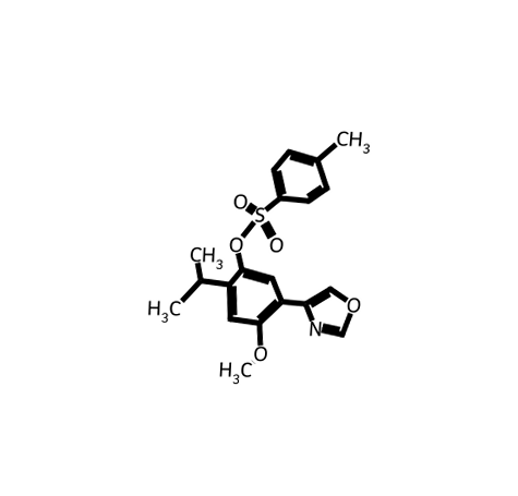 COc1cc(C(C)C)c(OS(=O)(=O)c2ccc(C)cc2)cc1-c1cocn1